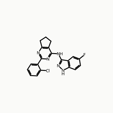 Fc1ccc2[nH]nc(Nc3nc(-c4ccccc4Cl)nc4c3CCC4)c2c1